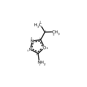 CC(C)c1nnc(N)o1